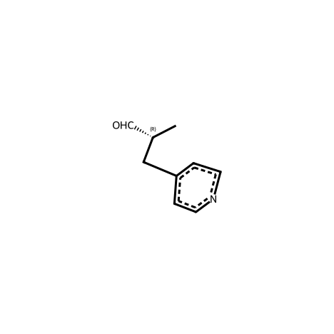 C[C@@H](C=O)Cc1ccncc1